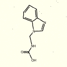 O=C(O)NCn1cnc2ccccc21